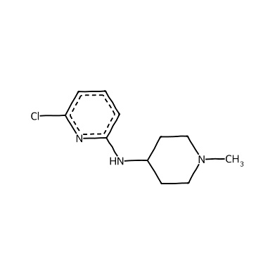 CN1CCC(Nc2cccc(Cl)n2)CC1